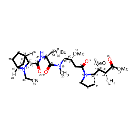 CC[C@H](C)[C@@H]([C@@H](CC(=O)N1CCC[C@H]1[C@H](OC)[C@@H](C)C(=O)OC)OC)N(C)C(=O)[C@@H](NC(=O)[C@@H]1[C@H]2CC[C@H](C2)N1CC#N)C(C)C